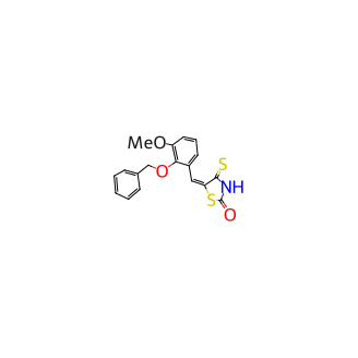 COc1cccc(/C=C2/SC(=O)NC2=S)c1OCc1ccccc1